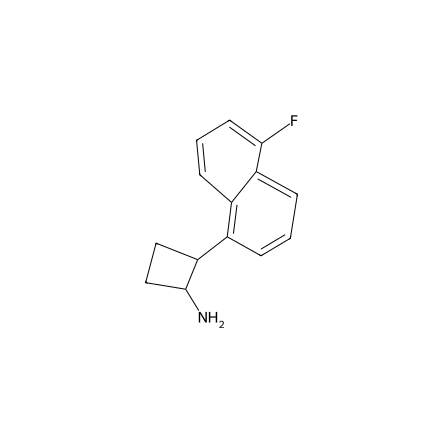 NC1CCC1c1cccc2c(F)cccc12